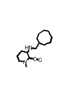 CN1CCCC(NCC2CCCCCCC2)C1=C=O